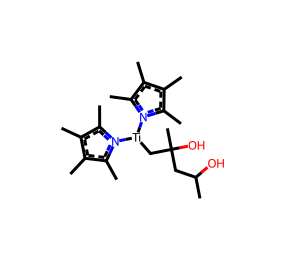 Cc1c(C)c(C)[n]([Ti]([CH2]C(C)(O)CC(C)O)[n]2c(C)c(C)c(C)c2C)c1C